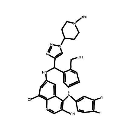 CC(C)(C)N1CCC(n2cc(C(Nc3cc(Cl)c4ncc(C#N)c(Nc5ccc(F)c(Cl)c5)c4c3)c3ccccc3CO)nn2)CC1